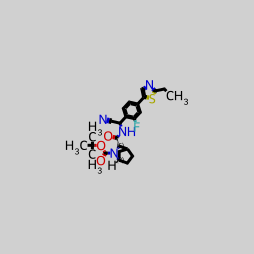 CCc1ncc(-c2ccc(C(C#N)NC(=O)[C@@H]3C4CC[C@H](C4)N3C(=O)OC(C)(C)C)c(F)c2)s1